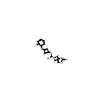 O=C1NC2(CO1)CN(C(=O)OC1CC(Oc3ccccc3F)C1)C2